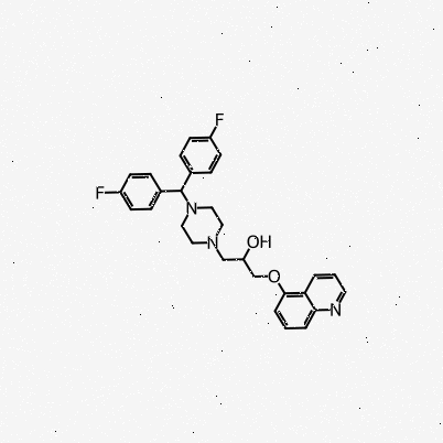 OC(COc1cccc2ncccc12)CN1CCN(C(c2ccc(F)cc2)c2ccc(F)cc2)CC1